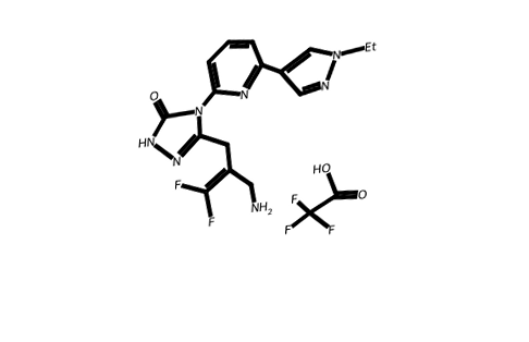 CCn1cc(-c2cccc(-n3c(CC(CN)=C(F)F)n[nH]c3=O)n2)cn1.O=C(O)C(F)(F)F